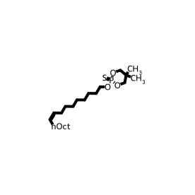 CCCCCCCC/C=C\CCCCCCCCOP1(=S)OCC(C)(C)CO1